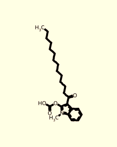 CCCCCCCCCCCCCC(=O)c1c(OC(=O)O)n(C)c2ccccc12